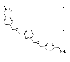 NCc1ccc(COCc2cccc(COCc3ccc(CN)cc3)n2)cc1